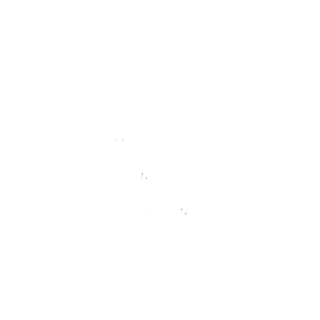 CCC(C)(C)CC(=O)N(C)CC(=O)N(C)C